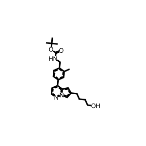 Cc1cc(-c2ccnn3cc(CCCCO)cc23)ccc1CNC(=O)OC(C)(C)C